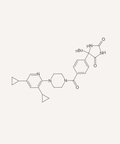 CCCCC1(c2ccc(C(=O)N3CCN(c4ncc(C5CC5)cc4C4CC4)CC3)cc2)NC(=O)NC1=O